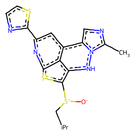 Cc1ncc2c3cc(-c4nccs4)nc4sc([S+]([O-])CC(C)C)c([nH]n12)c43